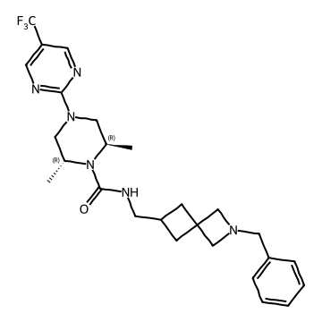 C[C@@H]1CN(c2ncc(C(F)(F)F)cn2)C[C@@H](C)N1C(=O)NCC1CC2(C1)CN(Cc1ccccc1)C2